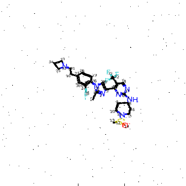 Cc1nc(-c2nc(NC3CCN([S+](C)[O-])CC3)ncc2C(F)(F)F)cn1-c1ccc(CCN2CCC2)cc1F